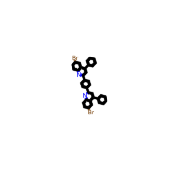 Brc1ccc2nc(-c3ccc(-c4cc(-c5ccccc5)c5cc(Br)ccc5n4)cc3)cc(-c3ccccc3)c2c1